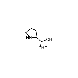 O=CC(O)C1CCCN1